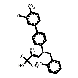 CC(C)(O)/C(N)=C/N(Cc1ccccc1C(F)(F)F)c1ccc(-c2ccc(C(=O)O)c(Cl)c2)cc1